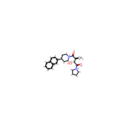 C=C(C(=O)N1CCC(c2ccc3ccccc3c2)CC1)[C@@H](O)C(=O)N1CCCC1